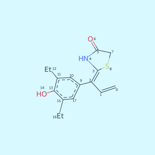 C=CC(=C1NC(=O)CS1)c1cc(CC)c(O)c(CC)c1